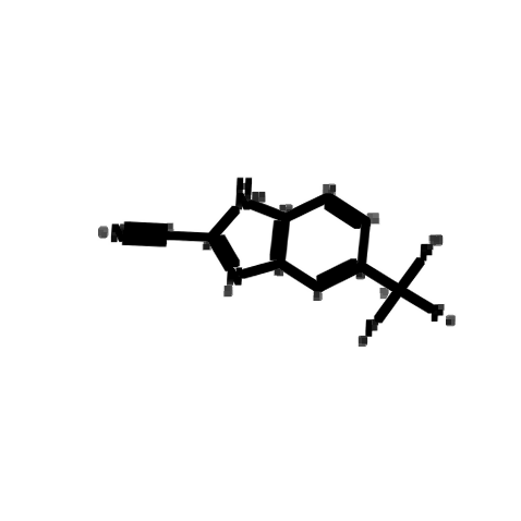 N#Cc1nc2cc(C(F)(F)F)ccc2[nH]1